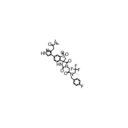 C[C@H](N(Cc1ccc(F)cc1)C(=O)CN1C(=O)NC2(CS(=O)(=O)c3cc(-c4c[nH]nc4CC(=O)N(C)C)ccc32)C1=O)C(F)(F)F